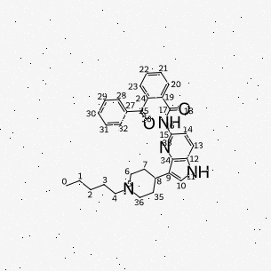 CCCCCN1CCC(c2c[nH]c3ccc(NC(=O)c4ccccc4C(=O)c4ccccc4)nc23)CC1